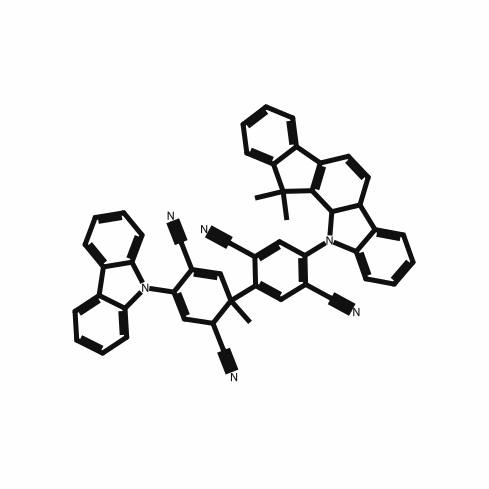 CC1(C)C2=C(C=CC3c4ccccc4N(c4cc(C#N)c(C5(C)C=C(C#N)C(n6c7ccccc7c7ccccc76)=CC5C#N)cc4C#N)C23)c2ccccc21